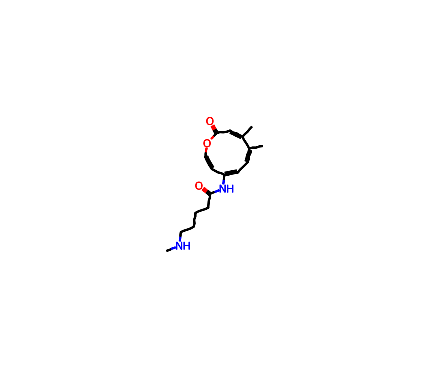 CNCCCCC(=O)Nc1ccoc(=O)cc(C)c(C)cc1